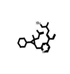 C=CC(=CCC(C)CC(C)(C)C)c1ccnc(CC2C(C3CCCCC3)C2(C)CC(=C)C)c1